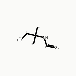 CC(C)(CO)N[C]=O